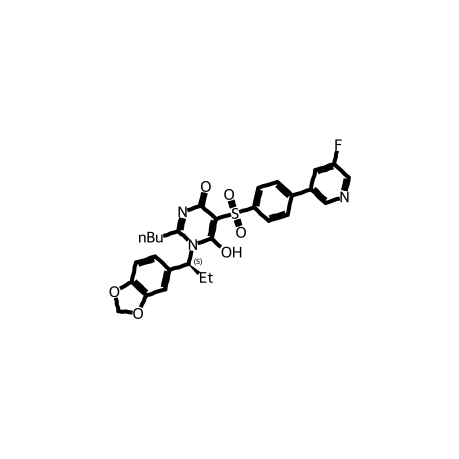 CCCCc1nc(=O)c(S(=O)(=O)c2ccc(-c3cncc(F)c3)cc2)c(O)n1[C@@H](CC)c1ccc2c(c1)OCO2